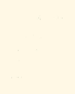 CCCCCCc1ccc(C(C)c2ccc(OCCCCC)cc2)cn1